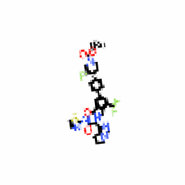 CC(C)(C)OC(=O)N1CC[C@H](c2ccc(-c3cc4c(c(C(F)F)c3)CN(C(C(=O)Nc3nccs3)c3ncn5c3CCC5)C4=O)cc2)[C@@H](F)C1